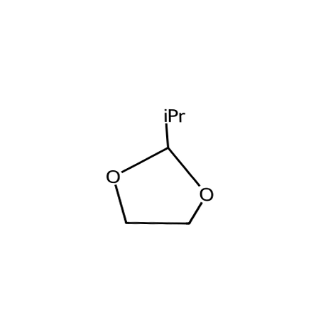 CC(C)C1OCCO1